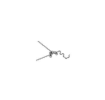 CC/C=C\C/C=C\C/C=C\C/C=C\C/C=C\C/C=C\CCC(=O)OC[C@@H](COC(=O)CCCCCCCCCCCCCC)OC(=O)CCCCCCCCCCCCCCCC